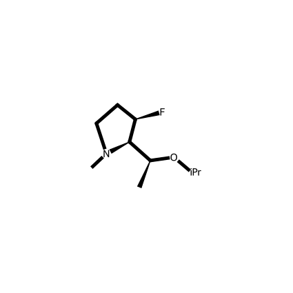 CC(C)O[C@@H](C)[C@@H]1[C@H](F)CCN1C